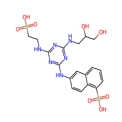 O=S(=O)(O)CCNc1nc(NCC(O)CO)nc(Nc2ccc3c(S(=O)(=O)O)cccc3c2)n1